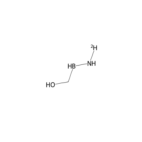 [2H]NBCO